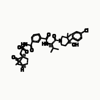 CC(C)[C@@H](NC(=O)c1cccc(C(=O)NS(=O)(=O)C[C@]23CC[C@H](CC2=O)C3(C)C)c1)C(=O)N1CC[C@](O)(c2ccc(Cl)cc2)C(C)(C)C1